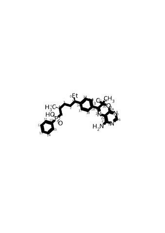 CC[C@H](CC[C@@H](C)CP(=O)(O)c1ccccc1)c1ccc(C2=Nc3c(N)ncnc3OC2(C)C)cc1